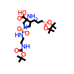 CC(C)(C)OC(=O)NCCNS(=O)(=O)N1CC(CCCB2OC(C)(C)C(C)(C)O2)C(N)(C(=O)O)C1